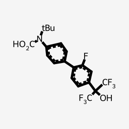 CC(C)(C)N(C(=O)O)c1ccc(-c2ccc(C(O)(C(F)(F)F)C(F)(F)F)cc2F)cc1